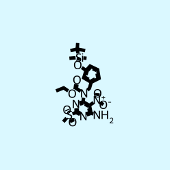 CCOC(=O)N(Cc1cccc(O[Si](C)(C)C(C)(C)C)c1)c1nc(S(C)(=O)=O)nc(N)c1[N+](=O)[O-]